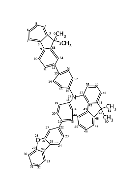 CC1(C)c2ccccc2-c2ccc(-c3ccc(N(c4ccc(-c5ccc6c(c5)oc5ccccc56)cc4)c4cccc5c4-c4ccccc4C5(C)C)cc3)cc21